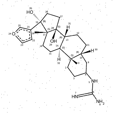 C[C@]12CCC(NC(=N)N)C[C@H]1CC[C@@H]1[C@@H]2CC[C@]2(C)[C@@](O)(c3ccoc3)CC[C@]12O